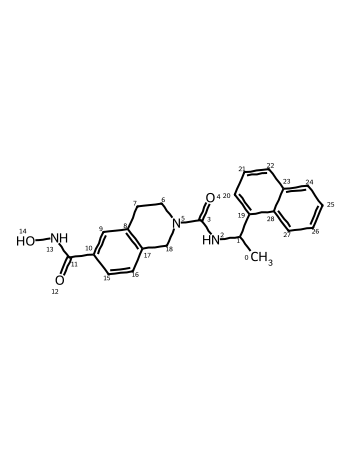 CC(NC(=O)N1CCc2cc(C(=O)NO)ccc2C1)c1cccc2ccccc12